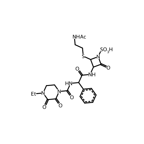 CCN1CCN(C(=O)NC(C(=O)NC2C(=O)N(S(=O)(=O)O)C2SCCNC(C)=O)c2ccccc2)C(=O)C1=O